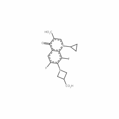 O=C(O)c1cn(C2CC2)c2c(F)c(N3CC(C(=O)O)C3)c(F)cc2c1=O